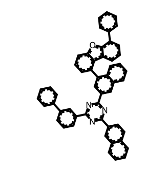 c1ccc(-c2cccc(-c3nc(-c4ccc5ccccc5c4)nc(-c4cc(-c5cccc6oc7c(-c8ccccc8)cccc7c56)c5ccccc5c4)n3)c2)cc1